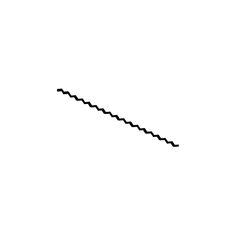 C=CC=CCC=CCCC=CCCC=CCCC=CCCC=CCCC=CCCC=CCCC=CC